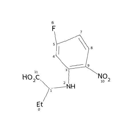 CCC(Nc1cc(F)ccc1[N+](=O)[O-])C(=O)O